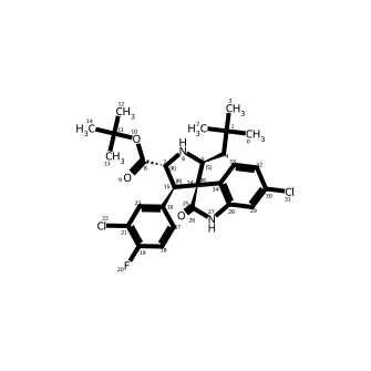 CC(C)(C)C[C@@H]1N[C@@H](C(=O)OC(C)(C)C)[C@H](c2ccc(F)c(Cl)c2)[C@]12C(=O)Nc1cc(Cl)ccc12